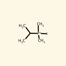 CC(C)[P+](C)(C)I